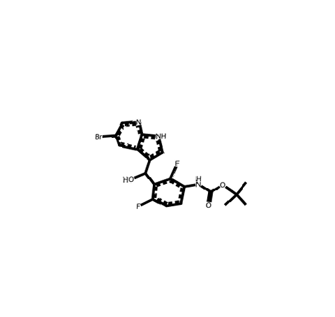 CC(C)(C)OC(=O)Nc1ccc(F)c(C(O)c2c[nH]c3ncc(Br)cc23)c1F